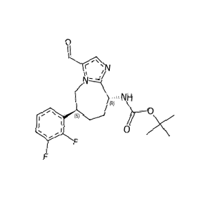 CC(C)(C)OC(=O)N[C@@H]1CC[C@@H](c2cccc(F)c2F)Cn2c(C=O)cnc21